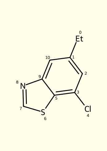 CCc1cc(Cl)c2scnc2c1